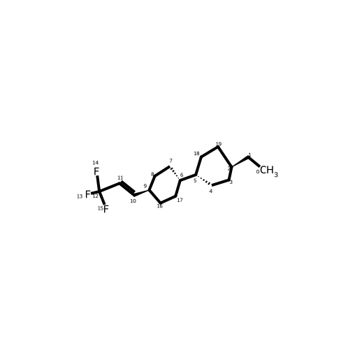 CC[C@H]1CC[C@H]([C@H]2CC[C@H](C=CC(F)(F)F)CC2)CC1